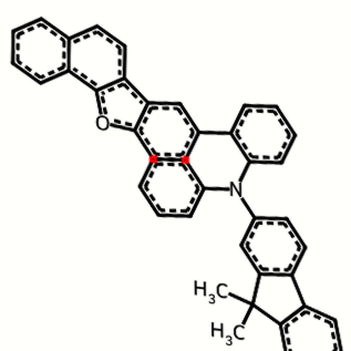 CC1(C)c2ccccc2-c2ccc(N(c3ccccc3)c3ccccc3-c3ccc4oc5c6ccccc6ccc5c4c3)cc21